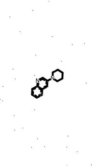 c1ccc2ncc(N3CCCCC3)cc2c1